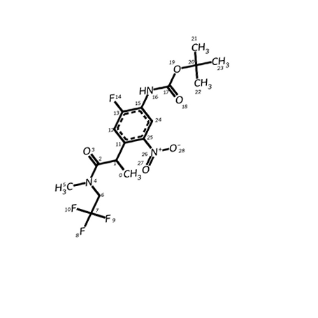 CC(C(=O)N(C)CC(F)(F)F)c1cc(F)c(NC(=O)OC(C)(C)C)cc1[N+](=O)[O-]